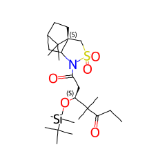 CCC(=O)C(C)(C)[C@H](CC(=O)N1C2CC3CC[C@]2(CS1(=O)=O)C3(C)C)O[Si](C)(C)C(C)(C)C